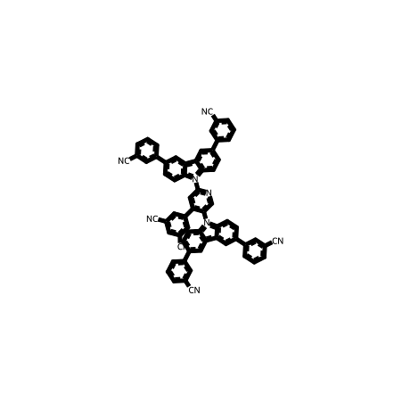 N#Cc1cccc(-c2ccc3c(c2)c2cc(-c4cccc(C#N)c4)ccc2n3-c2cc(-c3cc(C#N)cc(C(F)(F)F)c3)c(-n3c4ccc(-c5cccc(C#N)c5)cc4c4cc(-c5cccc(C#N)c5)ccc43)cn2)c1